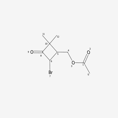 CC(=O)OCC1C(Br)C(=O)C1(C)C